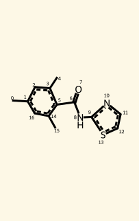 Cc1cc(C)c(C(=O)Nc2nccs2)c(C)c1